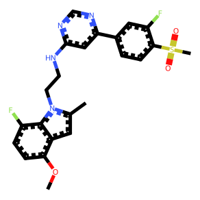 COc1ccc(F)c2c1cc(C)n2CCNc1cc(-c2ccc(S(C)(=O)=O)c(F)c2)ncn1